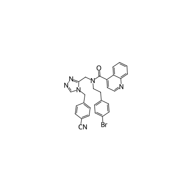 N#Cc1ccc(Cn2cnnc2CN(CCc2ccc(Br)cc2)C(=O)c2ccnc3ccccc23)cc1